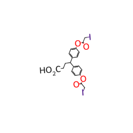 O=C(O)CCC(c1ccc(OC(=O)CI)cc1)c1ccc(OC(=O)CI)cc1